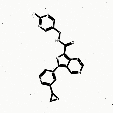 O=C(NCc1cnc(C(F)(F)F)nc1)c1oc(-c2cccc(C3CC3)c2)c2cnccc12